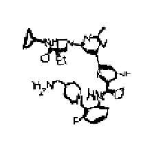 CC[C@@]1(C(=O)NC2CC2)CCN(c2cc(-c3c[nH]c(C(=O)Nc4cccc(F)c4N4CCC(CN)CC4)n3)nc(C)n2)C1